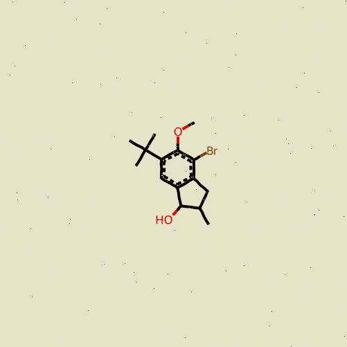 COc1c(C(C)(C)C)cc2c(c1Br)CC(C)C2O